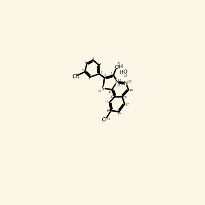 Oc1c(-c2cccc(Cl)c2)sc2c3cc(Cl)ccc3cn[n+]12.[OH-]